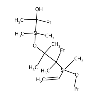 C=C[Si](C)(OC(C)C)C(C)(CC)C(C)(C)O[Si](C)(C)C(C)(O)CC